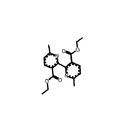 CCOC(=O)c1ccc(C)nc1-c1nc(C)ccc1C(=O)OCC